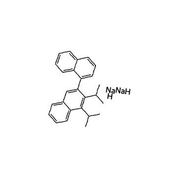 CC(C)c1c(-c2cccc3ccccc23)cc2ccccc2c1C(C)C.[NaH].[NaH]